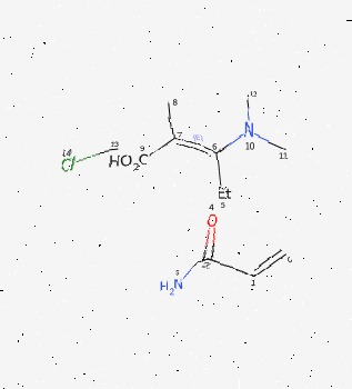 C=CC(N)=O.CC/C(=C(/C)C(=O)O)N(C)C.CCl